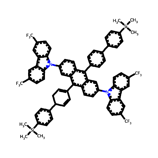 C[Si](C)(C)c1ccc(-c2ccc(-c3c4ccc(-n5c6ccc(C(F)(F)F)cc6c6cc(C(F)(F)F)ccc65)cc4c(C4=CCC(c5ccc([Si](C)(C)C)cc5)C=C4)c4ccc(-n5c6ccc(C(F)(F)F)cc6c6cc(C(F)(F)F)ccc65)cc34)cc2)cc1